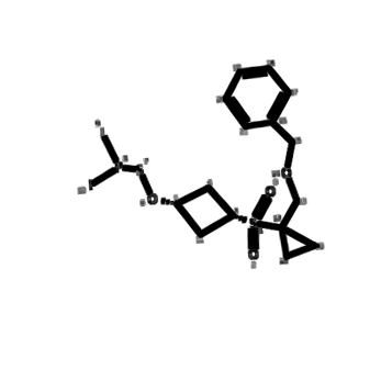 O=S(=O)([C@H]1C[C@@H](OSP(I)I)C1)C1(COCc2ccccc2)CC1